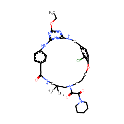 CC1(C)CNC(=O)c2ccc(cc2)Nc2nc(nc(OCC(F)(F)F)n2)NCc2ccc(c(Cl)c2)OCCCN(C(=O)C(=O)N2CCCCC2)C1